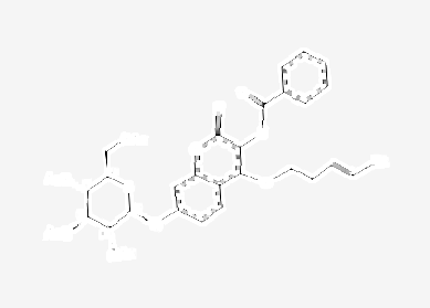 CCC=CCCOc1c(OC(=O)c2ccccc2)c(=O)oc2cc(O[C@@H]3O[C@H](COC(C)=O)[C@@H](OC(C)=O)[C@H](OC(C)=O)[C@H]3OC(C)=O)ccc12